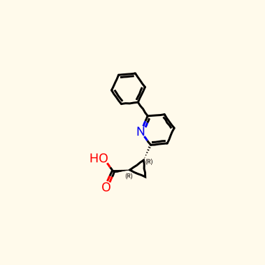 O=C(O)[C@@H]1C[C@H]1c1cccc(-c2ccccc2)n1